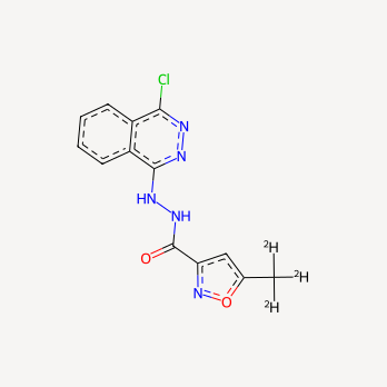 [2H]C([2H])([2H])c1cc(C(=O)NNc2nnc(Cl)c3ccccc23)no1